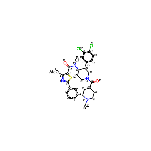 COc1nc(-c2ccccc2)sc1C(=O)N(C)[C@@H]1CCN(C(=O)C2CCN(C(C)=O)CC2)C[C@H]1c1ccc(Cl)c(Cl)c1